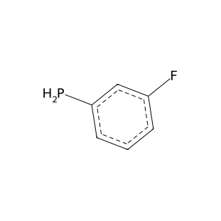 Fc1cccc(P)c1